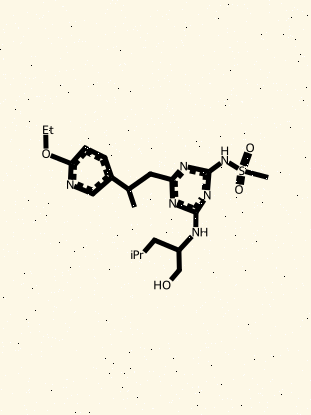 CCOc1ccc(C(C)Cc2nc(NC(CO)CC(C)C)nc(NS(C)(=O)=O)n2)cn1